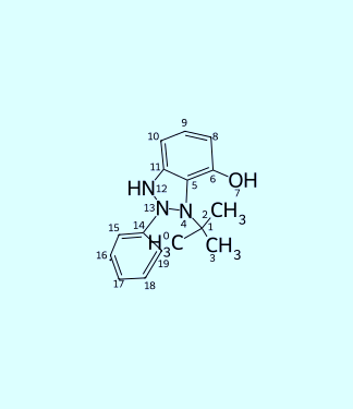 CC(C)(C)N1c2c(O)cccc2NN1c1c[c]ccc1